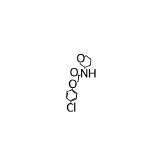 C[C@@H]1CC[C@@H](NC(=O)COc2ccc(Cl)cc2)CO1